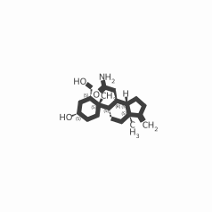 C=C1CC[C@H]2[C@H](CC(N)=O)[C@@H]([C@]3(C)CC[C@H](O)C[C@@H]3CO)CC[C@]12C